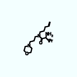 C=CCCCN(CCCN1CCOCC1)C(=O)C(N)C(C)C